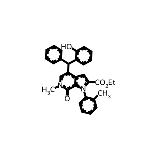 CCOC(=O)c1cc2c(C(c3ccccc3)c3ccccc3O)cn(C)c(=O)c2n1-c1ccccc1C